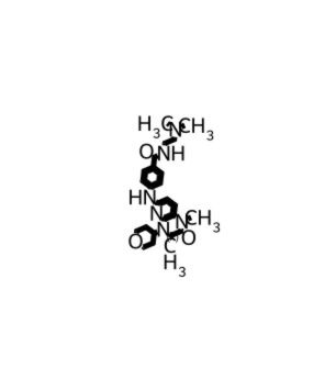 C[C@@H]1C(=O)N(C)c2ccc(Nc3ccc(C(=O)NCCN(C)C)cc3)nc2N1C1CCOCC1